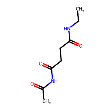 CCNC(=O)CCC(=O)NC(C)=O